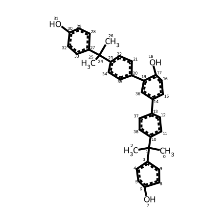 CC(C)(c1ccc(O)cc1)c1ccc(-c2ccc(O)c(-c3ccc(C(C)(C)c4ccc(O)cc4)cc3)c2)cc1